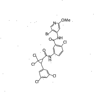 COc1cc(NC(=O)c2cc(NC(=O)C3C(c4cc(Cl)cc(Cl)c4)C3(Cl)Cl)ccc2Cl)c(Br)cn1